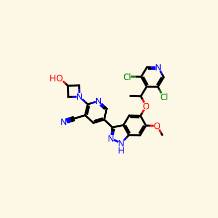 COc1cc2[nH]nc(-c3cnc(N4CC(O)C4)c(C#N)c3)c2cc1OC(C)c1c(Cl)cncc1Cl